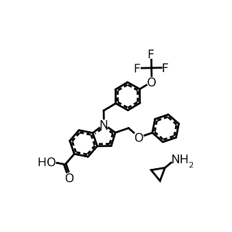 NC1CC1.O=C(O)c1ccc2c(c1)cc(COc1ccccc1)n2Cc1ccc(OC(F)(F)F)cc1